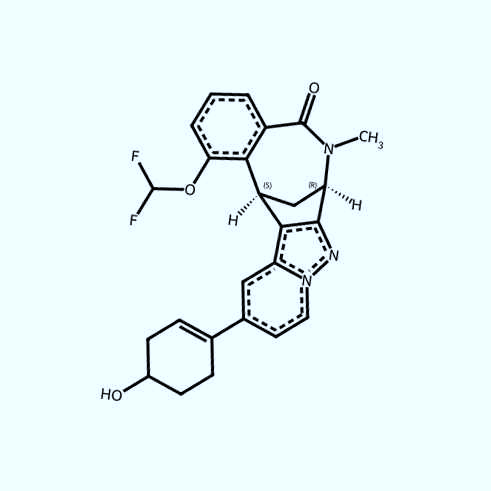 CN1C(=O)c2cccc(OC(F)F)c2[C@H]2C[C@@H]1c1nn3ccc(C4=CCC(O)CC4)cc3c12